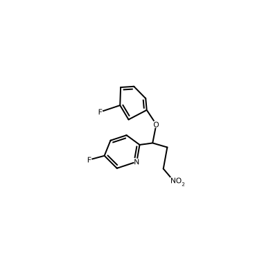 O=[N+]([O-])CCC(Oc1cccc(F)c1)c1ccc(F)cn1